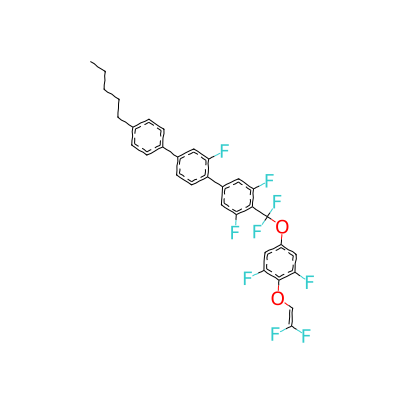 CCCCCc1ccc(-c2ccc(-c3cc(F)c(C(F)(F)Oc4cc(F)c(OC=C(F)F)c(F)c4)c(F)c3)c(F)c2)cc1